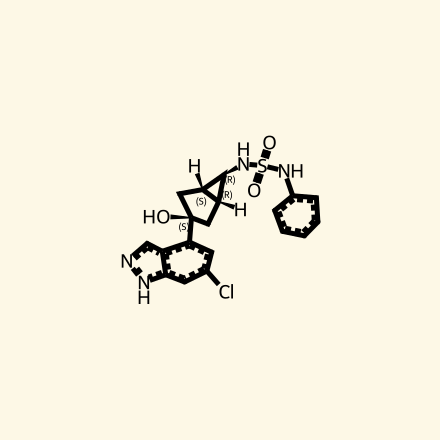 O=S(=O)(Nc1ccccc1)N[C@H]1[C@@H]2C[C@](O)(c3cc(Cl)cc4[nH]ncc34)C[C@@H]21